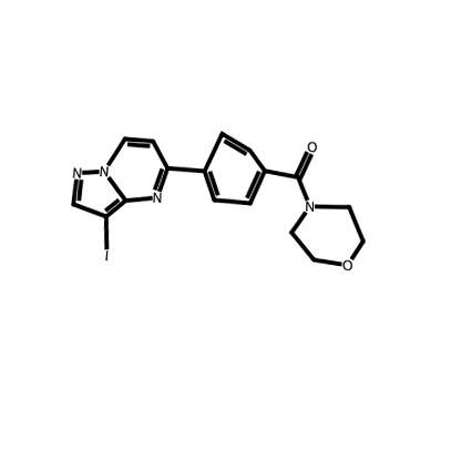 O=C(c1ccc(-c2ccn3ncc(I)c3n2)cc1)N1CCOCC1